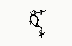 CC1(C)Cc2nnn(C(C)(C)C)c2CCC2C(COC(C)(C)C)C2C1